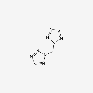 c1nnn(Cn2ncnn2)n1